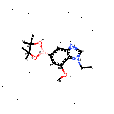 CCn1cnc2cc(B3OC(C)(C)C(C)(C)O3)cc(OC)c21